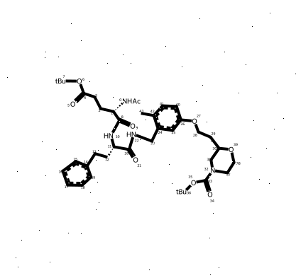 CC(=O)N[C@@H](CCC(=O)OC(C)(C)C)C(=O)N[C@@H](CCc1ccccc1)C(=O)NCc1cc(OCCC2CN(C(=O)OC(C)(C)C)CCO2)ccc1C